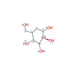 OCC1CC(O)[C@@H](O)C(O)C1O